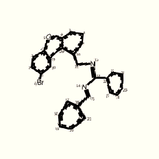 Brc1ccc2oc3cccc(C/N=C(\N=C\c4ccccc4)c4ccccc4)c3c2c1